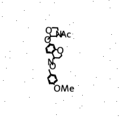 COc1ccc(CO/N=C2\CCOc3cc(OC4CN(C(C)=O)CCO4)ccc32)cc1